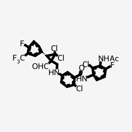 CC(=O)Nc1c(F)ccc(NC(=O)c2cc(NCC3(C=O)[C@H](c4ccc(F)c(C(F)(F)F)c4)C3(Cl)Cl)ccc2Cl)c1Cl